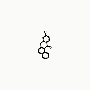 O=C1c2ccc(Cl)cc2Cc2ccc3ccccc3c21